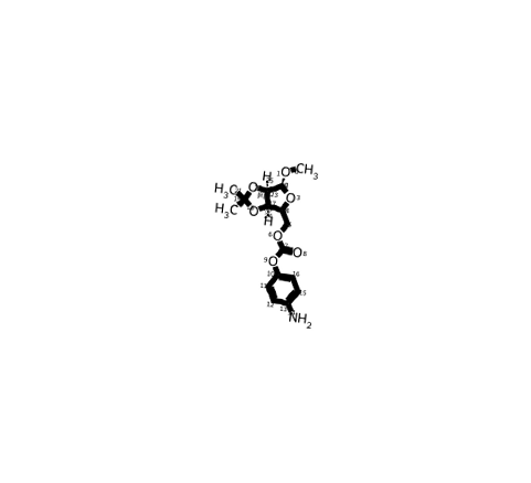 CO[C@@H]1OC(COC(=O)Oc2ccc(N)cc2)[C@H]2OC(C)(C)O[C@@H]12